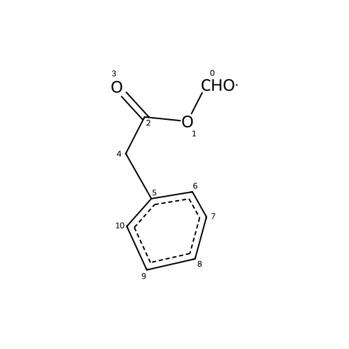 O=[C]OC(=O)Cc1ccccc1